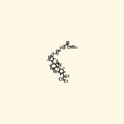 CC[S+]([O-])Nc1ccc(-c2nn(C)c3c(-c4cnn(CCOCCOCC(=O)OC(C)(C)C)c4)cnc(N)c23)cc1